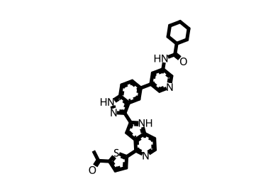 CC(=O)c1ccc(-c2nccc3[nH]c(-c4n[nH]c5ccc(-c6cncc(NC(=O)C7CCCCC7)c6)cc45)cc23)s1